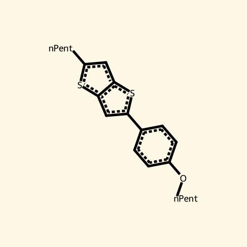 CCCCCOc1ccc(-c2cc3sc(CCCCC)cc3s2)cc1